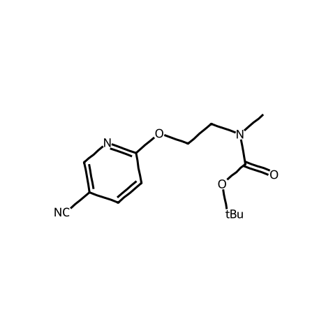 CN(CCOc1ccc(C#N)cn1)C(=O)OC(C)(C)C